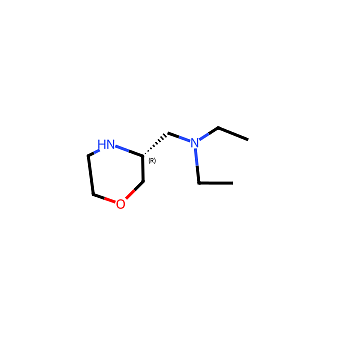 CCN(CC)C[C@@H]1COCCN1